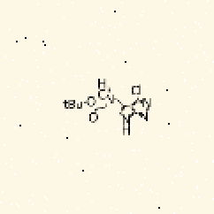 CN(CC(=O)OC(C)(C)C)Cc1c[nH]c2ncnc(Cl)c12